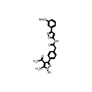 COc1cccc(-c2cc(NC(=O)Cc3ccc(-c4nn(C(C)C)c(N)c4C(N)=O)cc3)on2)c1